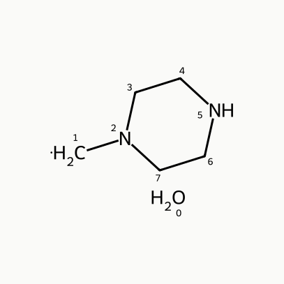 O.[CH2]N1CCNCC1